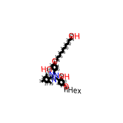 CCCCCCOc1ccc(-c2nc(-c3ccc(OCCCCCCCCCCCO)cc3O)nc(-c3c(C)cc(C)cc3C)n2)c(O)c1